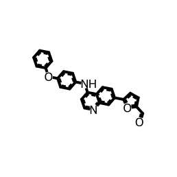 O=Cc1ccc(-c2ccc3c(Nc4ccc(Oc5ccccc5)cc4)ccnc3c2)o1